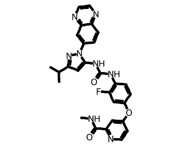 CNC(=O)c1cc(Oc2ccc(NC(=O)Nc3cc(C(C)C)nn3-c3ccc4nccnc4c3)c(F)c2)ccn1